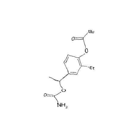 CCc1cc(C(C)OC(N)=O)ccc1OC(=O)C(C)(C)C